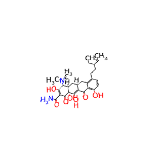 CCC(CC)CCc1ccc(O)c2c1C[C@@H]1C[C@@H]3C(N(C)C)C(O)=C(C(N)=O)C(=O)[C@]3(O)C(O)=C1C2=O